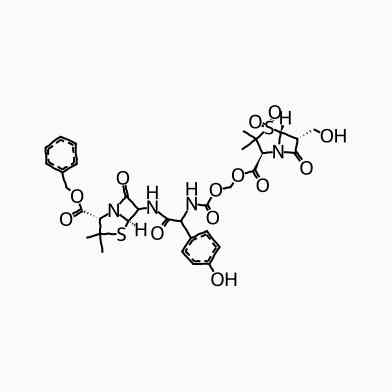 CC1(C)S[C@@H]2C(NC(=O)C(NC(=O)OCOC(=O)[C@@H]3N4C(=O)[C@@H](CO)[C@H]4S(=O)(=O)C3(C)C)c3ccc(O)cc3)C(=O)N2[C@H]1C(=O)OCc1ccccc1